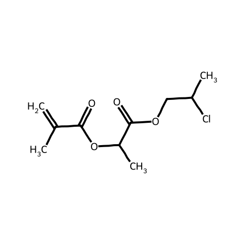 C=C(C)C(=O)OC(C)C(=O)OCC(C)Cl